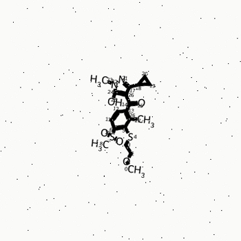 COCCSc1c(S(C)(=O)=O)ccc(C(=O)c2c(C3CC3)nn(C)c2O)c1C